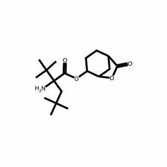 CC(C)(C)CC(N)(C(=O)OC1CCC2CC1OC2=O)C(C)(C)C